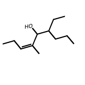 CCC=C(C)C(O)C(CC)CCC